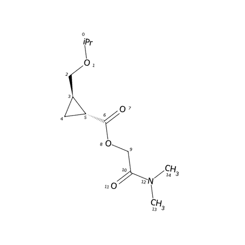 CC(C)OC[C@@H]1C[C@H]1C(=O)OCC(=O)N(C)C